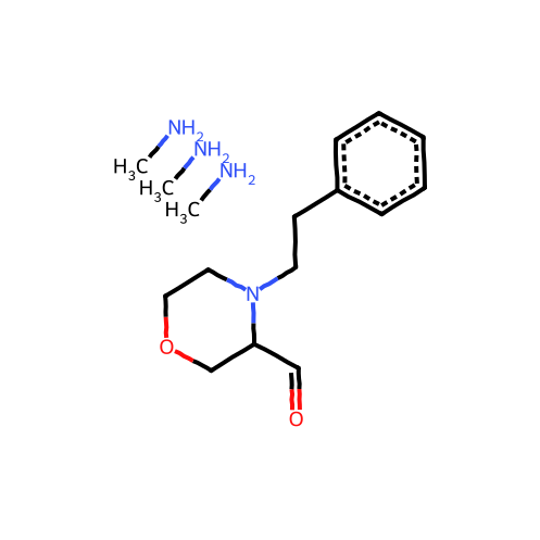 CN.CN.CN.O=CC1COCCN1CCc1ccccc1